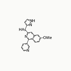 COc1ccc2c(-c3cccnc3)nc([AsH]c3cc[nH]n3)cc2c1